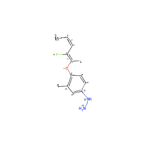 CC/C=C\C(F)=C(/C)Oc1ccc(NN)cc1C